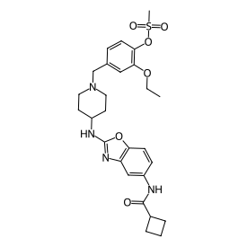 CCOc1cc(CN2CCC(Nc3nc4cc(NC(=O)C5CCC5)ccc4o3)CC2)ccc1OS(C)(=O)=O